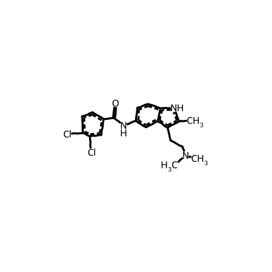 Cc1[nH]c2ccc(NC(=O)c3ccc(Cl)c(Cl)c3)cc2c1CCN(C)C